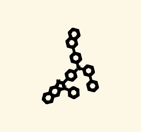 c1ccc(-c2cccc(N(c3ccc(-c4ccc5ccccc5c4)cc3)c3ccc(-c4nc5cc6ccccc6cc5n4-c4ccccc4)cc3)c2)cc1